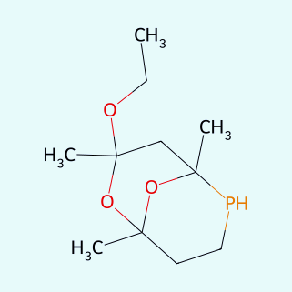 CCOC1(C)CC2(C)OC(C)(CCP2)O1